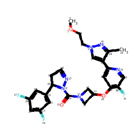 COCCn1cc(-c2cc(OC3CN(C(=O)N4N=CCC4c4cc(F)cc(F)c4)C3)c(F)cn2)c(C)n1